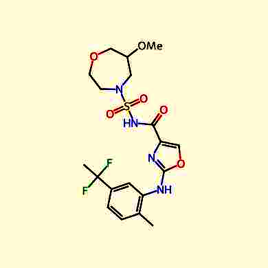 COC1COCCN(S(=O)(=O)NC(=O)c2coc(Nc3cc(C(C)(F)F)ccc3C)n2)C1